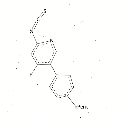 CCCCCc1ccc(-c2cnc(N=C=S)cc2F)cc1